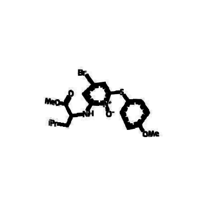 COC(=O)C(CC(C)C)Nc1cc(Br)cc(Sc2ccc(OC)cc2)[n+]1[O-]